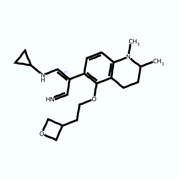 CC1CCc2c(ccc(/C(C=N)=C/NC3CC3)c2OCCC2COC2)N1C